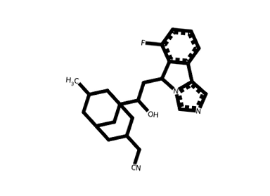 CC1CC2CC(CC#N)CC(C(O)CC3c4c(F)cccc4-c4cncn43)(C1)C2